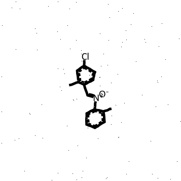 Cc1cc(Cl)ccc1C=[N+]([O-])c1ccccc1C